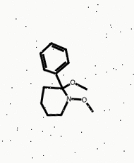 CON1CCCCC1(OC)c1ccccc1